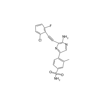 Cc1cc(S(N)(=O)=O)ccc1-c1cnc(N)c(C#Cc2c(F)cccc2Cl)n1